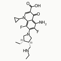 CCNC[C@H]1CN(c2c(F)c(N)c3c(=O)c(C(=O)O)cn(C4CC4)c3c2F)C[C@H]1CC